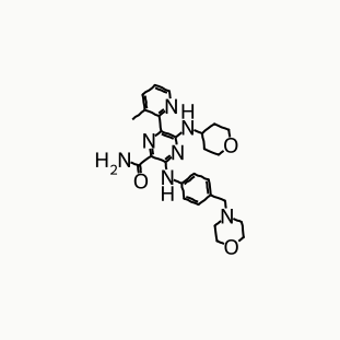 Cc1cccnc1-c1nc(C(N)=O)c(Nc2ccc(CN3CCOCC3)cc2)nc1NC1CCOCC1